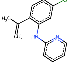 C=C(C)c1ccc(Cl)cc1Nc1ccccn1